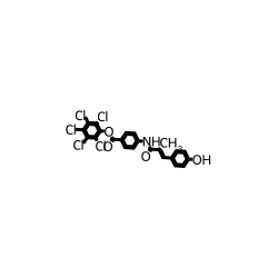 C/C(=C\c1ccc(O)cc1)C(=O)Nc1ccc(C(=O)Oc2c(Cl)c(Cl)c(Cl)c(Cl)c2Cl)cc1